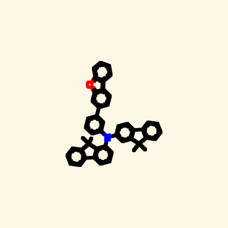 CC1(C)c2ccccc2-c2ccc(N(c3cccc(-c4ccc5c(c4)oc4ccccc45)c3)c3cccc4c3C(C)(C)c3ccccc3-4)cc21